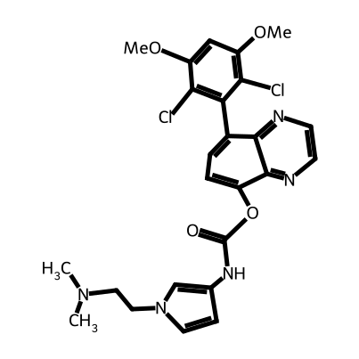 COc1cc(OC)c(Cl)c(-c2ccc(OC(=O)Nc3ccn(CCN(C)C)c3)c3nccnc23)c1Cl